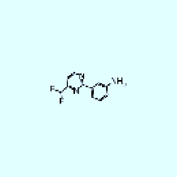 Nc1cccc(-c2nccc(C(F)F)n2)c1